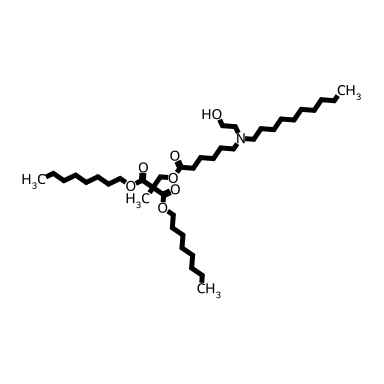 CCCCCCCCCCN(CCO)CCCCCC(=O)OCC(C)(C(=O)OCCCCCCCC)C(=O)OCCCCCCCC